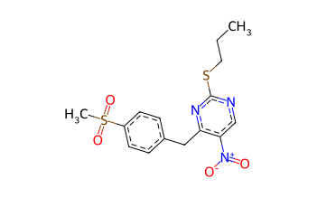 CCCSc1ncc([N+](=O)[O-])c(Cc2ccc(S(C)(=O)=O)cc2)n1